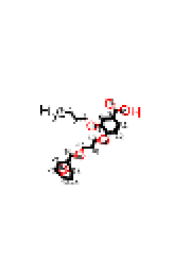 CCCCOc1cc(C(=O)O)ccc1OCCCOCC1CCC2CC1O2